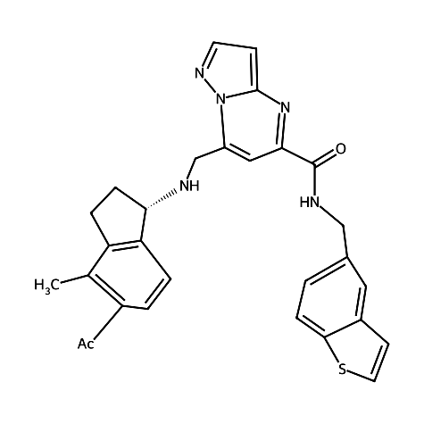 CC(=O)c1ccc2c(c1C)CC[C@@H]2NCc1cc(C(=O)NCc2ccc3sccc3c2)nc2ccnn12